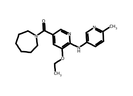 CCOc1cc(C(=O)N2CCCCCC2)cnc1Nc1ccc(C)nc1